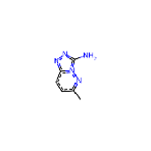 Cc1ccc2nnc(N)n2n1